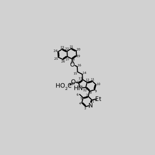 CCc1nccc(C)c1-c1cccc2c(CCCOc3cccc4ccccc34)c(OC(=O)O)[nH]c12